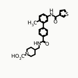 Cc1ccc(NC(=O)c2ccsc2)cc1-c1ccc(C(=O)NCC2CCN(C(=O)O)CC2)cc1